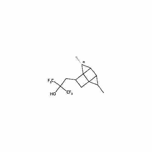 CC1C2C3[C@@H](C)C34C(CC(O)(C(F)(F)F)C(F)(F)F)CC124